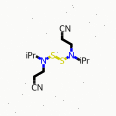 CC(C)N(CCC#N)SSN(CCC#N)C(C)C